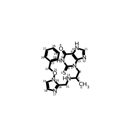 CC(Cn1c(=S)[nH]c(=O)c2[nH]cnc21)NCc1nccn1OCc1ccccc1